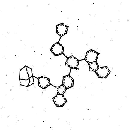 c1ccc(-c2cccc(-c3nc(-c4ccc5c6ccccc6n(-c6ccc(C78CC9CC(CC(C9)C7)C8)cc6)c5c4)nc(-c4cccc5c4oc4ccccc45)n3)c2)cc1